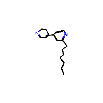 CCCCCCCc1cc(-c2ccncc2)ccn1